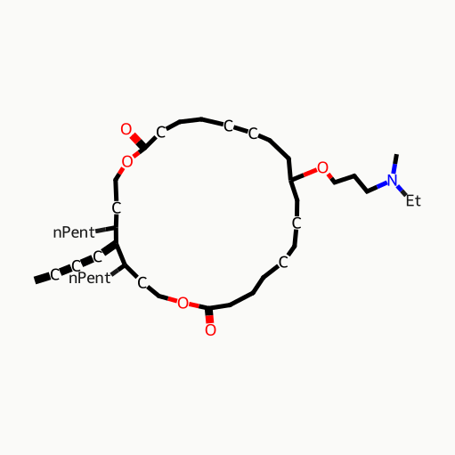 C=C=C=C=C1C(CCCCC)CCOC(=O)CCCCCCCC(OCCCN(C)CC)CCCCCCCC(=O)OCCC1CCCCC